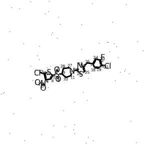 O=[N+]([O-])c1cc(S(=O)(=O)C2CCN(c3nc(Cc4ccc(Cl)c(F)c4)cs3)CC2)sc1Cl